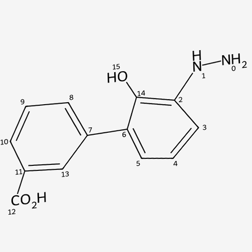 NNc1cccc(-c2cccc(C(=O)O)c2)c1O